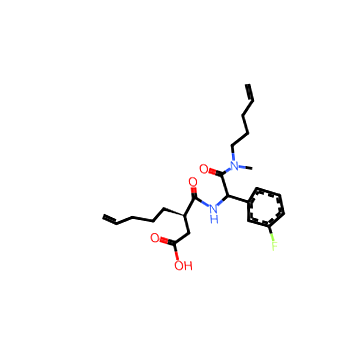 C=CCCC[C@H](CC(=O)O)C(=O)NC(C(=O)N(C)CCCC=C)c1cccc(F)c1